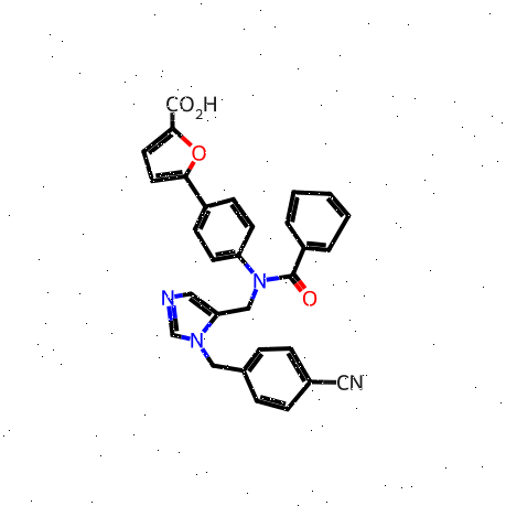 N#Cc1ccc(Cn2cncc2CN(C(=O)c2ccccc2)c2ccc(-c3ccc(C(=O)O)o3)cc2)cc1